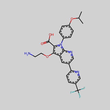 CC(C)Oc1ccc(-n2c(C(=O)O)c(OCCN)c3cc(-c4ccc(C(F)(F)F)cn4)cnc32)cc1